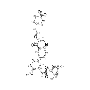 COc1ncc(-c2ccc3ncc(OCCC4CCS(=O)(=O)CC4)c(=O)n3c2)cc1NS(=O)(=O)c1sc(C)nc1C